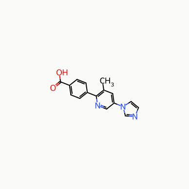 Cc1cc(-n2ccnc2)cnc1-c1ccc(C(=O)O)cc1